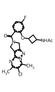 CC(=O)NC1CC(Oc2cc(F)ccc2C(=O)N2Cc3nn4c(C)c(Cl)c(C)nc4c3C2)C1